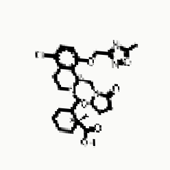 Cc1nc(COc2ccc(Cl)c3c2[C@@H](CN2CCCC2=O)N(C(=O)C2CCCC[C@@]2(C)C(=O)O)CC3)no1